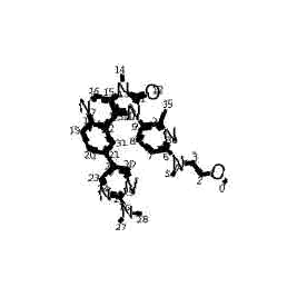 COCCN(C)c1ccc(-n2c(=O)n(C)c3cnc4ccc(-c5cnc(N(C)C)nc5)cc4c32)c(C)n1